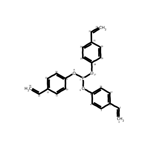 C=Cc1ccc(OP(Oc2ccc(C=C)cc2)Oc2ccc(C=C)cc2)cc1